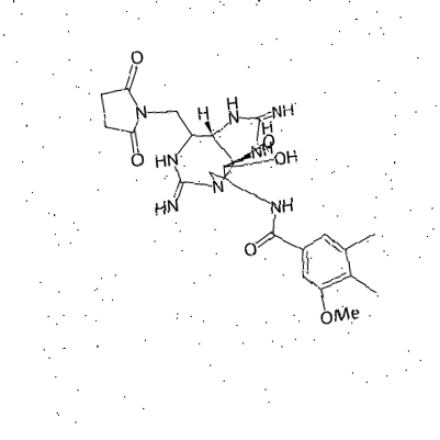 COc1cc(C(=O)NC2CN3C(=N)NC(CN4C(=O)CCC4=O)[C@@H]4NC(=N)N[C@@]43C2(O)O)cc(C)c1C